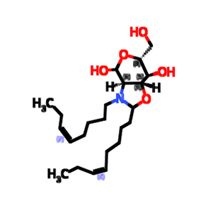 CC/C=C\CCCCC1O[C@H]2[C@H](O)[C@@H](CO)OC(O)[C@@H]2N1CCCC/C=C\CC